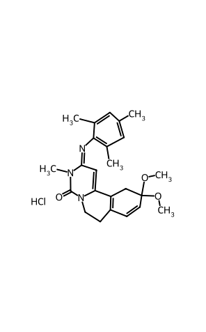 COC1(OC)C=CC2=C(C1)c1cc(=Nc3c(C)cc(C)cc3C)n(C)c(=O)n1CC2.Cl